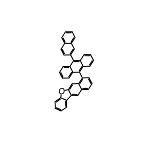 c1ccc2cc(-c3c4ccccc4c(-c4cccc5cc6c(cc45)oc4ccccc46)c4ccccc34)ccc2c1